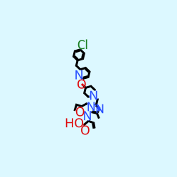 C=C/C(=N\c1c(C)nc(CN2CCC(Oc3cccc(Cc4ccc(Cl)cc4)n3)CC2)n1CC1CCO1)C(=O)O